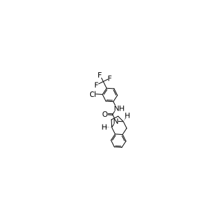 O=C(Nc1ccc(C(F)(F)F)c(Cl)c1)N1[C@H]2CC[C@@H]1c1ccccc1C2